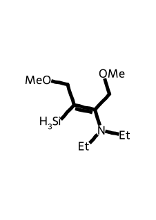 CCN(CC)C(COC)=C([SiH3])COC